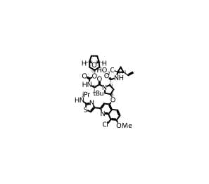 C=C[C@@H]1C[C@]1(NC(=O)[C@@H]1C[C@@H](Oc2cc(-c3csc(NC(C)C)n3)nc3c(Cl)c(OC)ccc23)CN1C(=O)[C@@H](NC(=O)O[C@@H]1C[C@H]2CC[C@@H](C1)O2)C(C)(C)C)C(=O)O